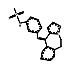 CS(=O)(=O)Nc1cccc(/C=C2/c3ccccc3CCn3cccc32)c1